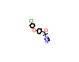 CC(C)(C(=O)c1ccc(Oc2ccc(Cl)cc2)cc1)n1ccnc1